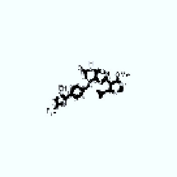 COc1ncnc(C2CC2)c1-c1ncc2c(n1)N(Cc1ccc(-c3nc(C(F)(F)F)cn3C)cc1)CC(=O)N2